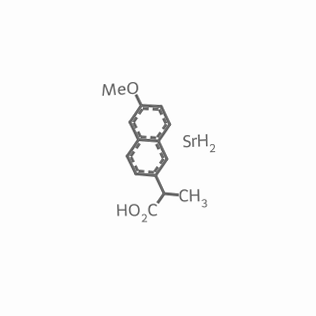 COc1ccc2cc(C(C)C(=O)O)ccc2c1.[SrH2]